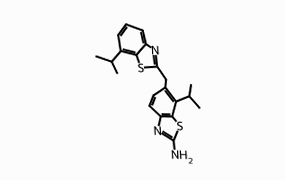 CC(C)c1cccc2nc(Cc3ccc4nc(N)sc4c3C(C)C)sc12